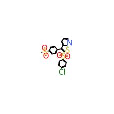 CS(=O)(=O)c1ccc(-c2c(S(=O)(=O)c3ccc(Cl)cc3)sc3ncccc23)cc1